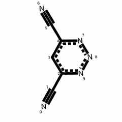 N#Cc1cc(C#N)nnn1